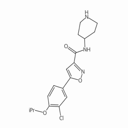 CC(C)Oc1ccc(-c2cc(C(=O)NC3CCNCC3)no2)cc1Cl